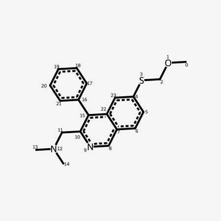 COCSc1ccc2cnc(CN(C)C)c(-c3ccccc3)c2c1